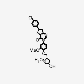 COc1cc(-n2cnc3c(c2=O)SC(c2ccc(Cl)cc2)C3)ccc1OC[C@@H]1C[C@@H](O)CN1C